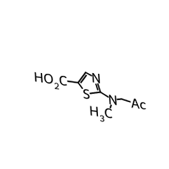 CC(=O)CN(C)c1ncc(C(=O)O)s1